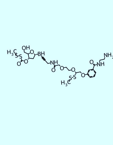 CSSC(=O)O[C@@H]1C[C@H](BC#CCNC(=O)COCCOC(COc2cccc(C(=O)NCCN)c2)SSC)OC1CO